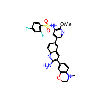 COc1ncc(-c2ccc3nc(N)c(-c4ccc5c(c4)OCCN5C)cc3c2)cc1NS(=O)(=O)c1ccc(F)cc1F